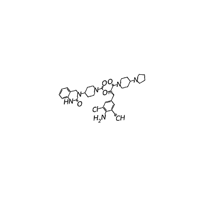 C#Cc1cc(C[C@@H](OC(=O)N2CCC(N3Cc4ccccc4NC3=O)CC2)C(=O)N2CCC(N3CCCC3)CC2)cc(Cl)c1N